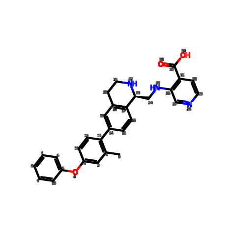 Cc1cc(Oc2ccccc2)ccc1-c1ccc2c(c1)CCN[C@H]2CNc1cnccc1C(=O)O